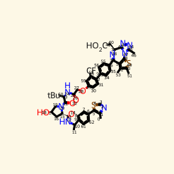 Cc1ncsc1-c1ccc(C(C)NC(=O)[C@@H]2C[C@@H](O)CN2C(=O)C(NC(=O)COc2ccc(-c3ccc(C4=N[C@@H](CC(=O)O)c5nnc(C)n5-c5sc(C)c(C)c54)cc3)c(C(F)(F)F)c2)C(C)(C)C)cc1